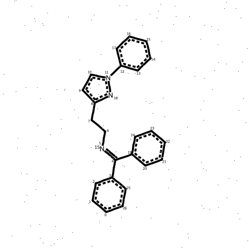 c1ccc(C(=[15N]CCc2ccn(-c3ccccc3)n2)c2ccccc2)cc1